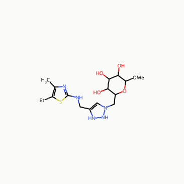 CCc1sc(NCC2=CN(CC3OC(OC)C(O)C(O)C3O)NN2)nc1C